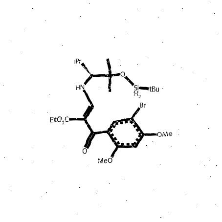 CCOC(=O)C(=CN[C@@H](C(C)C)C(C)(C)O[SiH2]C(C)(C)C)C(=O)c1cc(Br)c(OC)cc1OC